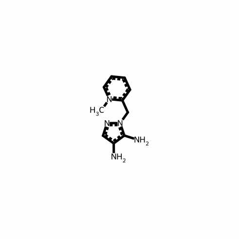 C[n+]1ccccc1Cn1ncc(N)c1N